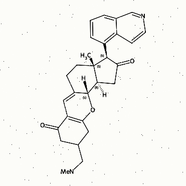 CNCC1CC(=O)C2=C(C1)O[C@@H]1C(=C2)CC[C@]2(C)[C@@H](c3cccc4cnccc34)C(=O)C[C@@H]12